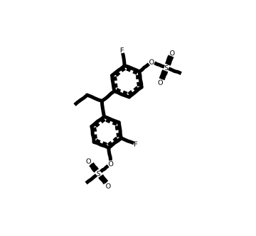 CCC(c1ccc(OS(C)(=O)=O)c(F)c1)c1ccc(OS(C)(=O)=O)c(F)c1